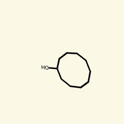 O[C]1CCCCCCCCC1